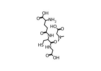 CN(C)CC(=O)O.NC(CCC(=O)NC(CS)C(=O)NCC(=O)O)C(=O)O